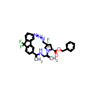 C=C(NCC(=C)N1C[C@@](F)(CN=[N+]=[N-])C[C@H]1C(=O)OCc1ccccc1)c1ccc2c(c1)-c1ccccc1C2(F)F